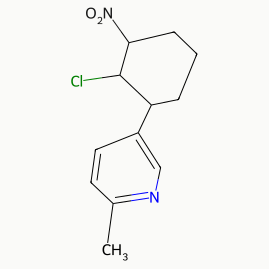 Cc1ccc(C2CCCC([N+](=O)[O-])C2Cl)cn1